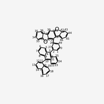 c1cc(-c2c3ccccc3c(-c3cccc4ccccc34)c3ccccc23)cc(-c2c3oc4ccccc4c3cc3oc4ccccc4c23)c1